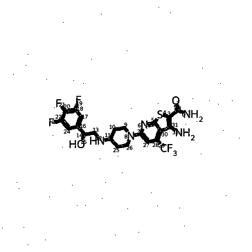 NC(=O)c1sc2nc(N3CCC(NCC(O)c4cc(F)c(F)c(F)c4)CC3)cc(C(F)(F)F)c2c1N